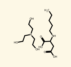 CCCCCNC(CC(=O)O)C(=O)O.OCCN(CCO)CCO